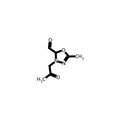 CC(=O)CN1N=C(C)OC1C=O